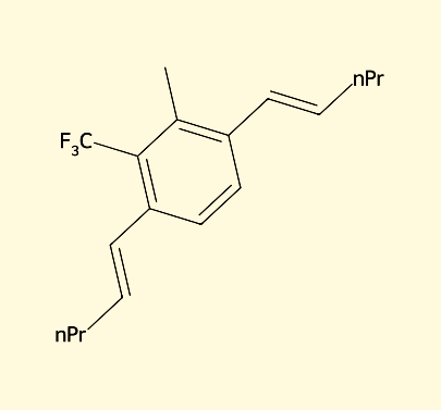 CCC/C=C/c1ccc(/C=C/CCC)c(C(F)(F)F)c1C